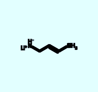 [Li+].[NH-]CC=C[SiH3]